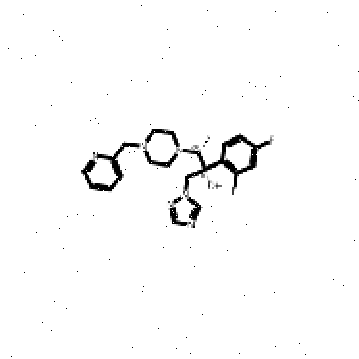 C[C@@H](N1CCN(Cc2ccccn2)CC1)[C@](O)(Cn1cncn1)c1ccc(F)cc1F